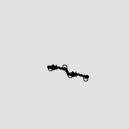 CC(C)(C)OC1CCN(CCCCCCC(=O)C(C)(C)CCC(C)(C)OC2CCN(CCCCCCCC(=O)C(C)(C)C)CC2)CC1